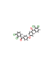 O=C(c1ccc(Oc2ccc(C(=O)c3cccc(Cl)c3Cl)cc2)cc1)c1cccc(Cl)c1Cl